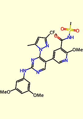 COc1cc(Nc2ncc(-c3cnc(OC)c(C(=O)NS(C)(=O)=O)c3)c(-n3nc(C(F)(F)F)cc3C)n2)cc(OC)c1